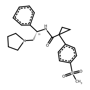 CS(=O)(=O)c1ccc(C2(C(=O)N[C@H](CN3CCCC3)c3ccccc3)CC2)cc1